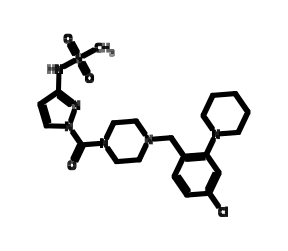 CS(=O)(=O)Nc1ccn(C(=O)N2CCN(Cc3ccc(Cl)cc3N3CCCCC3)CC2)n1